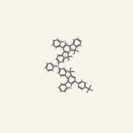 CC(C)(C)c1ccc(-c2cc3c(c4c2oc2ccccc24)-c2ccc(N(c4ccccc4)c4ccc5c(c4)C(C)(C)c4c6c(c7oc8ccccc8c7c4-5)-c4ccccc4C6(C)C)cc2C3(C)C)cc1